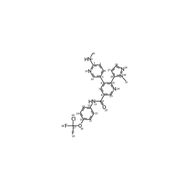 CNc1ccc(-c2cc(C(=O)Nc3ccc(OC(F)(F)Cl)cc3)cnc2-c2ccnn2C)cn1